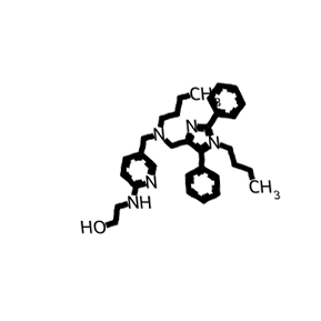 CCCCN(Cc1ccc(NCCO)nc1)Cc1nc(-c2ccccc2)n(CCCC)c1-c1ccccc1